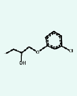 [CH2]CC(O)COc1cccc(Cl)c1